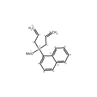 C=CC[Si](CC=C)(OC)c1cccc2ccccc12